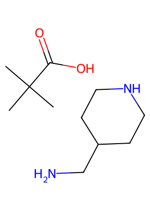 CC(C)(C)C(=O)O.NCC1CCNCC1